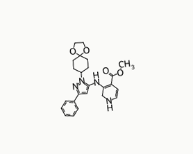 COC(=O)C1=C(Nc2cc(-c3ccccc3)nn2C2CCC3(CC2)OCCO3)CNC=C1